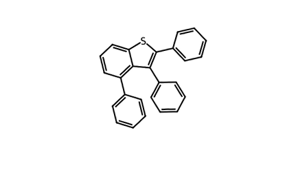 c1ccc(-c2sc3cccc(-c4ccccc4)c3c2-c2ccccc2)cc1